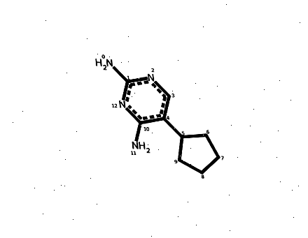 Nc1ncc(C2CCCC2)c(N)n1